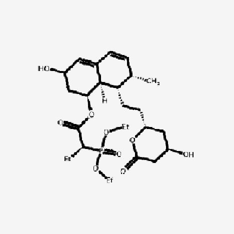 CCOP(=O)(OCC)[C@@H](CC)C(=O)O[C@H]1C[C@@H](O)C=C2C=C[C@H](C)[C@H](CC[C@@H]3C[C@@H](O)CC(=O)O3)[C@H]21